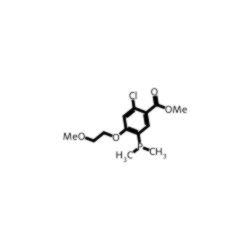 COCCOc1cc(Cl)c(C(=O)OC)cc1P(C)C